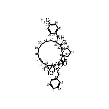 O=C1N[C@]2(P(=O)(O)Cc3ccccc3)C[C@H]2/C=C\CCCCC[C@H](Nc2ccc(C(F)(F)F)cc2)C(=O)N2CCC[C@@H]12